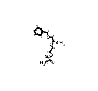 C[C@@H](COCc1ccccc1)OCCOS(C)(=O)=O